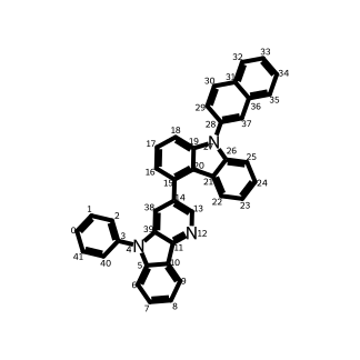 c1ccc(-n2c3ccccc3c3ncc(-c4cccc5c4c4ccccc4n5-c4ccc5ccccc5c4)cc32)cc1